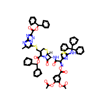 CC(=O)Oc1ccc(C(=O)O/N=C(\C(=O)N[C@@H]2C(=O)N3C(C(=O)OC(c4ccccc4)c4ccccc4)=C(CSc4cc(C)nc5nc(C(=O)OC(c6ccccc6)c6ccccc6)nn45)CS[C@H]23)c2csc(NC(c3ccccc3)(c3ccccc3)c3ccccc3)n2)cc1OC(C)=O